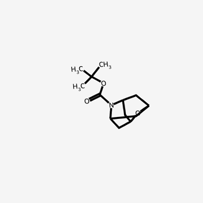 CC(C)(C)OC(=O)N1C2CC3CC1CC(C2)O3